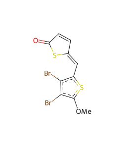 COc1sc(/C=C2/C=CC(=O)S2)c(Br)c1Br